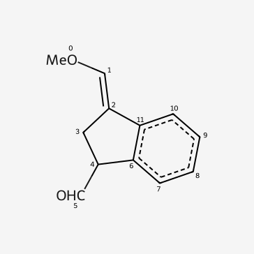 CO/C=C1\CC(C=O)c2ccccc21